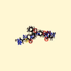 Cc1nc(-c2cnn(C)c2)sc1C(=O)N1CC[C@@H](C(=O)N2CCC(O)(Cn3cnc4c(ccn4C)c3=O)CC2)[C@H](c2ccccc2)C1